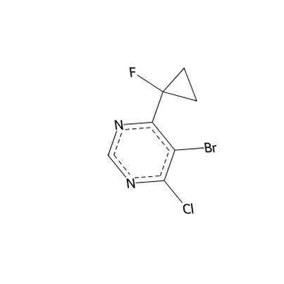 FC1(c2ncnc(Cl)c2Br)CC1